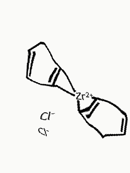 C1=C[C]2=[C](C1)[Zr+2]21[C]2=[C]1CC=C2.[Cl-].[Cl-]